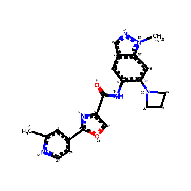 Cc1cc(-c2nc(C(=O)Nc3cc4cnn(C)c4cc3N3CCC3)co2)ccn1